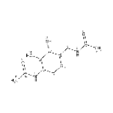 CC(=O)NCC1OCC(NC(C)=O)C(O)[C@@H]1O